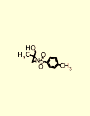 Cc1ccc(S(=O)(=O)N2CC2(C)CO)cc1